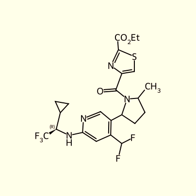 CCOC(=O)c1nc(C(=O)N2C(C)CCC2c2cnc(N[C@H](C3CC3)C(F)(F)F)cc2C(F)F)cs1